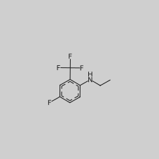 CCNc1ccc(F)cc1C(F)(F)F